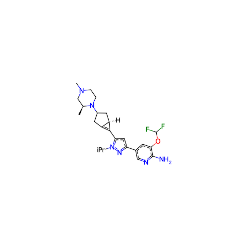 CC(C)n1nc(-c2cnc(N)c(OC(F)F)c2)cc1C1=C2CC(N3CCN(C)C[C@@H]3C)C[C@H]21